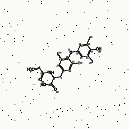 C=CC(=O)NC(Cc1cc(I)c(Oc2cc(I)c(O)c(I)c2)c(I)c1)C(=O)O